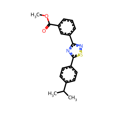 COC(=O)c1cccc(-c2nsc(-c3ccc(C(C)C)cc3)n2)c1